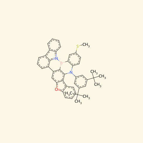 CSc1ccc2c(c1)B1c3c(cc4oc5ccccc5c4c3N2c2cc(C(C)(C)C)cc(C(C)(C)C)c2)-c2cccc3c4ccccc4n1c23